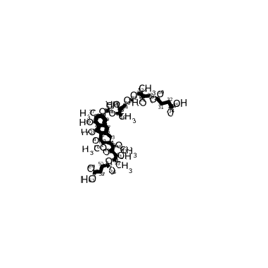 CO[C@@H]1C(=O)c2c(cc3cc(O[C@@H](C)OC(C)[C@@H](O)COCOC(C)[C@@H](O)COC(=O)CCC(=O)O)c(C)c(O)c3c2O)C[C@H]1[C@H](OC)C(=O)[C@@H](O)[C@@H](C)OC(=O)CCC(=O)O